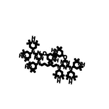 CC1(C)CC(Oc2nc(N(CCCCCCN(c3nc(OC4CC(C)(C)NC(C)(C)C4)nc(N(C4CC(C)(C)NC(C)(C)C4)C4CC(C)(C)NC(C)(C)C4)n3)C3CC(C)(C)NC(C)(C)C3)C3CC(C)(C)NC(C)(C)C3)nc(N(C3CC(C)(C)NC(C)(C)C3)C3CC(C)(C)NC(C)(C)C3)n2)CC(C)(C)N1